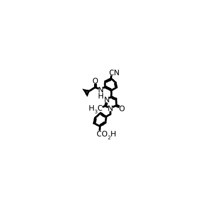 Cc1nc(-c2ccc(C#N)cc2NC(=O)C2CC2)cc(=O)n1Cc1cccc(C(=O)O)c1